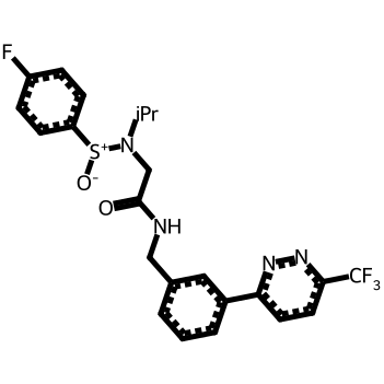 CC(C)N(CC(=O)NCc1cccc(-c2ccc(C(F)(F)F)nn2)c1)[S+]([O-])c1ccc(F)cc1